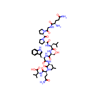 CC(C)C[C@H](NC(=O)[C@H](Cc1c[nH]c2ccccc12)NC(=O)[C@H](CO)NC(=O)[C@H](CC(C)C)NC(=O)[C@@H]1CCCN1C(=O)[C@@H]1CCCN1C(=O)CNC(=O)[C@@H](N)CCC(N)=O)C(=O)N[C@@H](CCC(N)=O)C(=O)N[C@H](C(=O)O)C(C)C